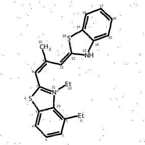 CCc1cccc2sc(C=C(C)C=C3Nc4ccccc4S3)[n+](CC)c12